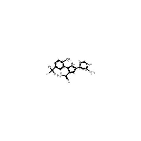 Cc1ccc(C(F)(F)F)cc1-c1[nH]c(-c2cc(N)ncn2)cc1C(N)=O